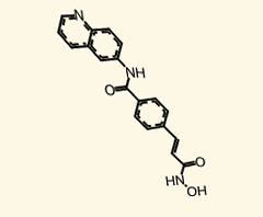 O=C(C=Cc1ccc(C(=O)Nc2ccc3ncccc3c2)cc1)NO